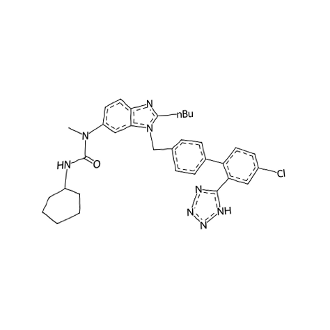 CCCCc1nc2ccc(N(C)C(=O)NC3CCCCC3)cc2n1Cc1ccc(-c2ccc(Cl)cc2-c2nnn[nH]2)cc1